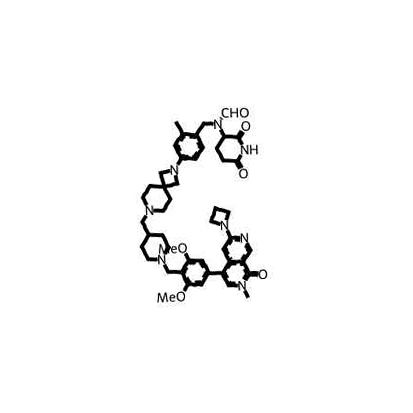 COc1cc(-c2cn(C)c(=O)c3cnc(N4CCC4)cc23)cc(OC)c1CN1CCC(CN2CCC3(CC2)CN(c2ccc(CN(C=O)C4CCC(=O)NC4=O)c(C)c2)C3)CC1